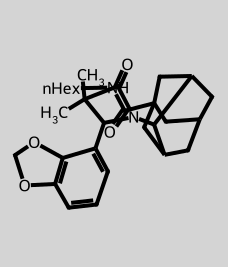 CCCCCCNC(=O)C12CC3CC(C1)C(N1C(=O)C(C)(C)C1c1cccc4c1OCO4)C(C3)C2